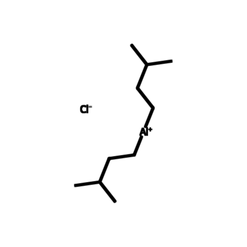 CC(C)C[CH2][Al+][CH2]CC(C)C.[Cl-]